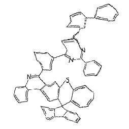 c1ccc(-c2cccc(-c3cc(-c4cccc(-c5nc6ccccc6c6cc7c(cc56)Sc5ccccc5C75c6ccccc6-c6ccccc65)c4)nc(-c4ccccc4)n3)c2)cc1